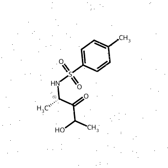 Cc1ccc(S(=O)(=O)N[C@@H](C)C(=O)C(C)O)cc1